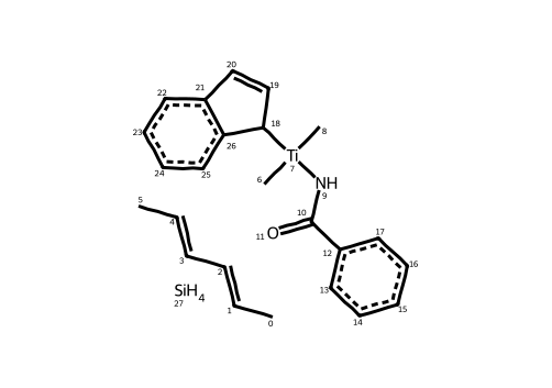 CC=CC=CC.[CH3][Ti]([CH3])([NH]C(=O)c1ccccc1)[CH]1C=Cc2ccccc21.[SiH4]